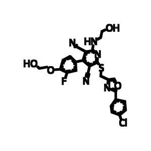 N#Cc1c(NCCO)nc(SCc2coc(-c3ccc(Cl)cc3)n2)c(C#N)c1-c1ccc(OCCO)c(F)c1